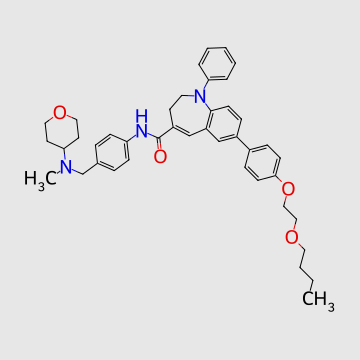 CCCCOCCOc1ccc(-c2ccc3c(c2)C=C(C(=O)Nc2ccc(CN(C)C4CCOCC4)cc2)CCN3c2ccccc2)cc1